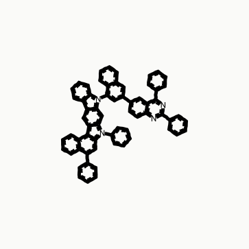 c1ccc(-c2nc(-c3ccccc3)c3cc(-c4cc(-n5c6ccccc6c6cc7c8c9ccccc9c(-c9ccccc9)cc8n(-c8ccccc8)c7cc65)c5ccccc5c4)ccc3n2)cc1